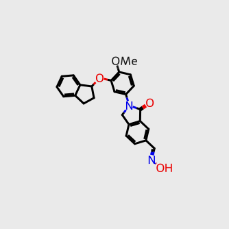 COc1ccc(N2Cc3ccc(C=NO)cc3C2=O)cc1OC1CCc2ccccc21